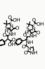 CC1(C)S[C@@H]2[C@H](NC(=O)C(C(=O)O)c3ccccc3)C(=O)N2[C@H]1C(=O)O.CC1(C)S[C@@H]2[C@H](NC(=O)[C@H](NC(=O)N3CCNC3=O)c3ccccc3)C(=O)N2[C@H]1C(=O)O